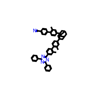 Cc1cc(C23CC4CC(C2)CC(c2ccc(-c5ccc(-c6nc(-c7ccccc7)nc(-c7ccccc7)n6)cc5C)c(C)c2)(C4)C3)ccc1-c1ccc(C#N)cc1